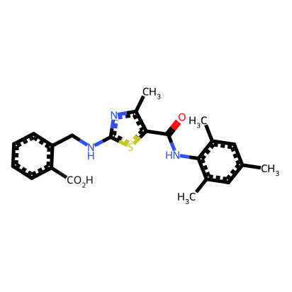 Cc1cc(C)c(NC(=O)c2sc(NCc3ccccc3C(=O)O)nc2C)c(C)c1